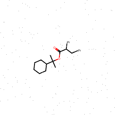 CC(C)CC(C(=O)OC(C)(C)C1CCCCC1)C(C)C